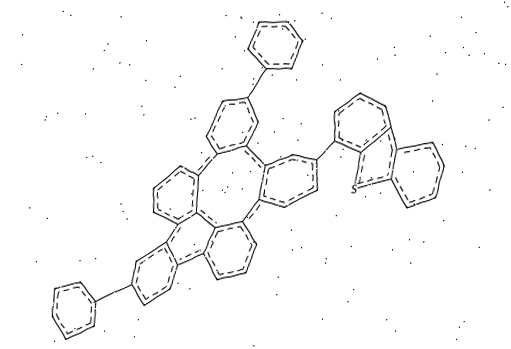 c1ccc(-c2ccc3c(c2)c2cc(-c4cccc5c4sc4ccccc45)ccc2c2cccc4c5ccc(-c6ccccc6)cc5c5cccc3c5c24)cc1